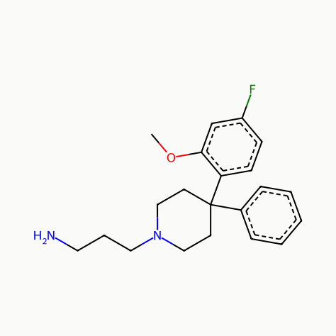 COc1cc(F)ccc1C1(c2ccccc2)CCN(CCCN)CC1